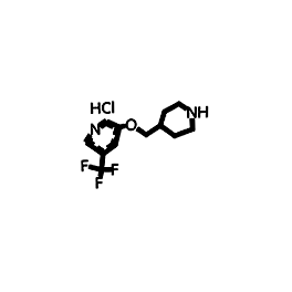 Cl.FC(F)(F)c1cncc(OCC2CCNCC2)c1